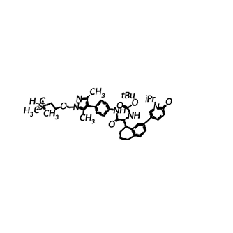 Cc1nn(COCC[Si](C)(C)C)c(C)c1-c1ccc(NC(=O)[C@@H](NC(=O)OC(C)(C)C)C2CCCc3ccc(-c4ccc(=O)n(C(C)C)c4)cc32)cc1